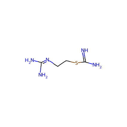 N=C(N)SCCN=C(N)N